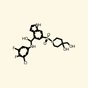 O=S(=O)(c1cc(C(O)Nc2cc(F)c(F)c(Cl)c2)c2cc[nH]c2c1)N1CCC(O)(CO)CC1